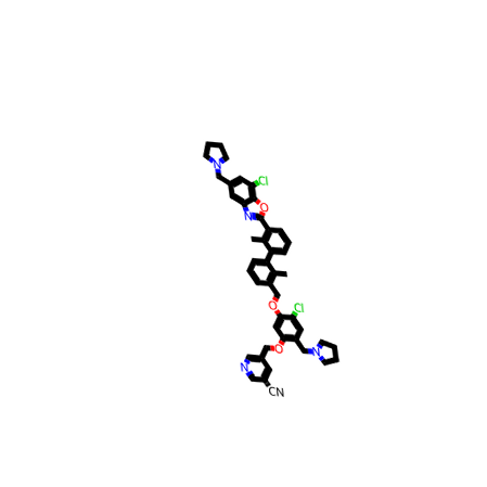 Cc1c(COc2cc(OCc3cncc(C#N)c3)c(CN3CCCC3)cc2Cl)cccc1-c1cccc(-c2nc3cc(CN4CCCC4)cc(Cl)c3o2)c1C